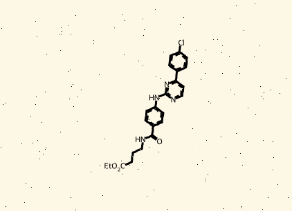 CCOC(=O)CCCNC(=O)c1ccc(Nc2nccc(-c3ccc(Cl)cc3)n2)cc1